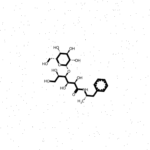 C[C@@H](Cc1ccccc1)NC(=O)[C@H](O)[C@@H](O)[C@H](O[C@@H]1O[C@H](CO)[C@H](O)[C@@H](O)[C@@H]1O)[C@H](O)CO